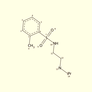 Cc1ccccc1S(=O)(=O)NCC[N]C(C)C